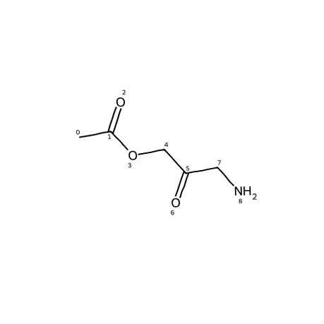 CC(=O)OCC(=O)CN